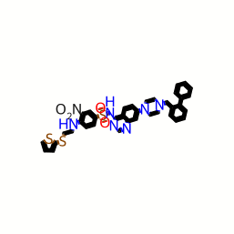 O=[N+]([O-])c1cc(S(=O)(=O)Nc2ncnc3cc(N4CCN(Cc5ccccc5-c5ccccc5)CC4)ccc23)ccc1NCCSc1cccs1